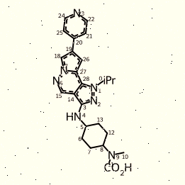 CC(C)n1nc(NC2CCC(N(C)C(=O)O)CC2)c2cnn3cc(-c4ccncc4)cc3c21